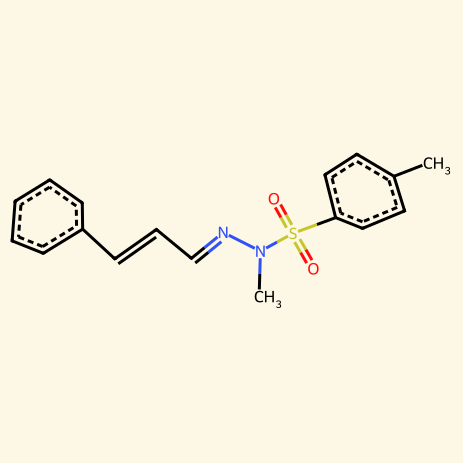 Cc1ccc(S(=O)(=O)N(C)N=CC=Cc2ccccc2)cc1